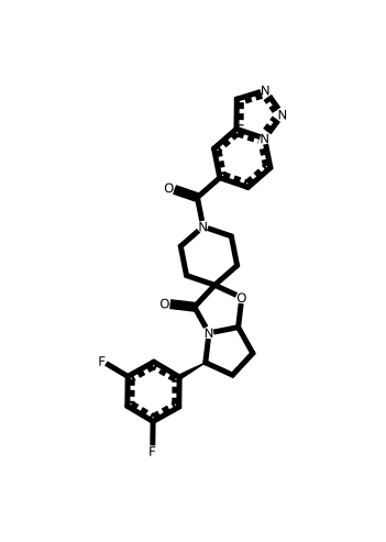 O=C(c1ccn2nncc2c1)N1CCC2(CC1)OC1CC[C@@H](c3cc(F)cc(F)c3)N1C2=O